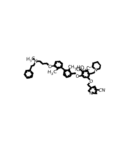 Cc1c(COc2cc(OCc3cncc(C#N)c3)c(CN3CCCC[C@H]3C(=O)O)cc2Cl)cccc1-c1cccc(OCCCN(C)CCc2ccccc2)c1C